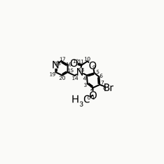 COc1cc2c(cc1Br)OCC(=O)N2Cc1ccncc1